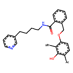 CCCc1c(OCc2ccccc2C(=O)NCCCCc2cccnc2)ccc(C(C)=O)c1O